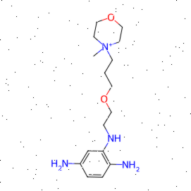 C[N+]1(CCCOCCNc2cc(N)ccc2N)CCOCC1